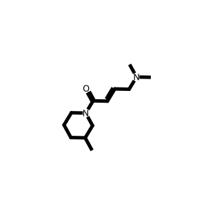 CC1CCCN(C(=O)C=CCN(C)C)C1